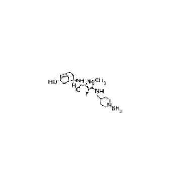 BN1CCC(CNc2c(F)c(C(=O)N[C@H]3C4CC5CC3C[C@](O)(C5)C4)nn2C)CC1